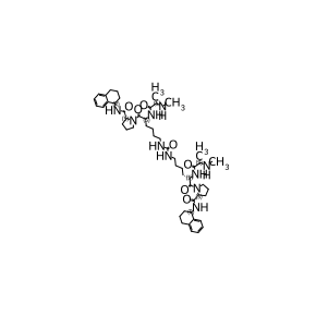 CN[C@@H](C)C(=O)N[C@@H](CCCCNC(=O)NCCCC[C@H](NC(=O)[C@H](C)NC)C(=O)N1CCC[C@H]1C(=O)N[C@@H]1CCCc2ccccc21)C(=O)N1CCC[C@H]1C(=O)N[C@@H]1CCCc2ccccc21